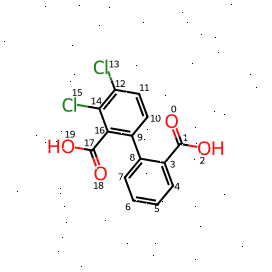 O=C(O)c1ccccc1-c1ccc(Cl)c(Cl)c1C(=O)O